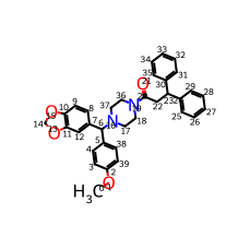 COc1ccc(C(c2ccc3c(c2)OCO3)N2CCN(C(=O)CC(c3ccccc3)c3ccccc3)CC2)cc1